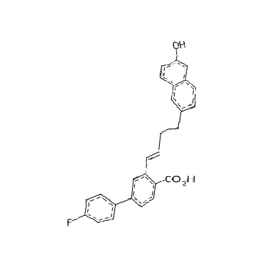 O=C(O)c1ccc(-c2ccc(F)cc2)cc1C=CCCc1ccc2cc(O)ccc2c1